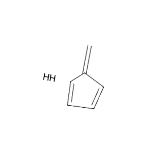 C=C1C=CC=C1.[HH]